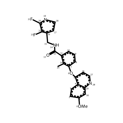 COc1ccc2c(Oc3cccc(C(=O)NCc4ccnc(F)c4F)c3C)ccnc2c1